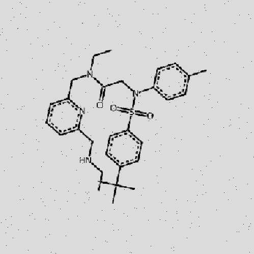 CCNCc1cccc(CN(CC)C(=O)CN(c2ccc(C)cc2)S(=O)(=O)c2ccc(C(C)(C)C)cc2)n1